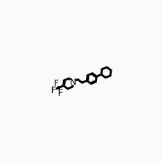 FC(F)(F)C1=CCN(CCc2ccc(C3CCCCC3)cc2)CC1